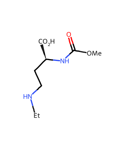 CCNCC[C@H](NC(=O)OC)C(=O)O